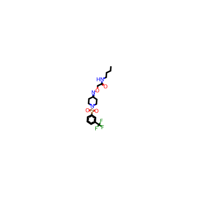 CCCCNC(=O)CON=C1CCN(S(=O)(=O)c2cccc(C(F)(F)F)c2)CC1